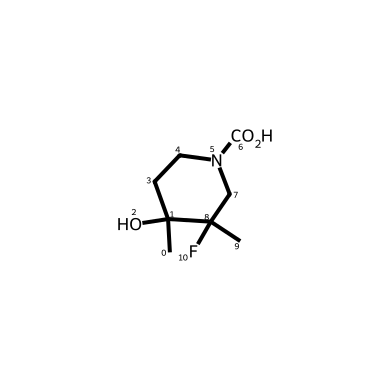 CC1(O)CCN(C(=O)O)CC1(C)F